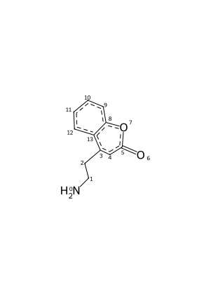 NCCc1cc(=O)oc2ccccc12